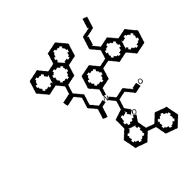 C=C/C=C\c1cc2ccccc2cc1-c1cccc(N(C(=C)CCC(=C)c2cc3ccccc3c3ccccc23)C(CC=O)c2cc3cccc(-c4ccccc4)c3o2)c1